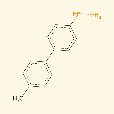 Cc1ccc(-c2ccc(PP)cc2)cc1